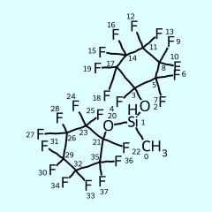 C[SiH](OC1(F)C(F)(F)C(F)(F)C(F)(F)C(F)(F)C1(F)F)OC1(F)C(F)(F)C(F)(F)C(F)(F)C(F)(F)C1(F)F